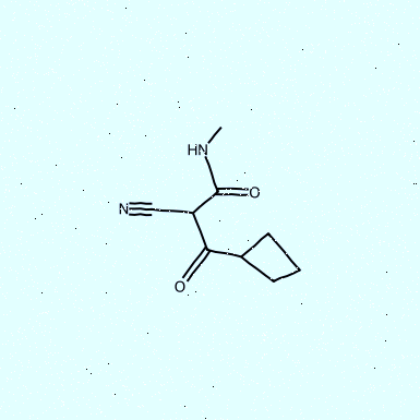 CNC(=O)C(C#N)C(=O)C1CCC1